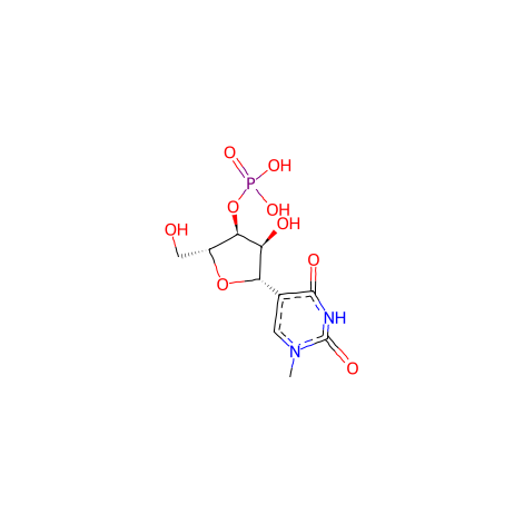 Cn1cc([C@@H]2O[C@H](CO)[C@@H](OP(=O)(O)O)[C@H]2O)c(=O)[nH]c1=O